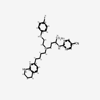 N#Cc1cnc(NC(CCN(CCCCc2ccc3c(n2)NCCC3)CCOc2ccc(F)cc2)C(=O)O)nc1